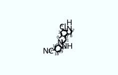 Cc1cc(Cl)c2[nH]ccc2c1Cc1nc2cc(C#N)ccc2[nH]1